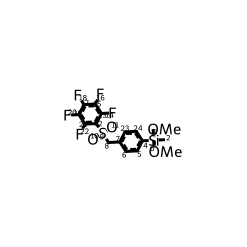 CO[Si](C)(OC)c1ccc(CS(=O)(=O)c2c(F)c(F)c(F)c(F)c2F)cc1